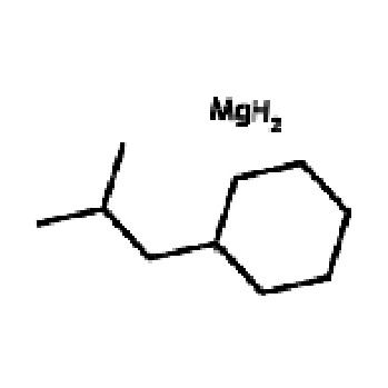 CC(C)C[C]1CCCCC1.[MgH2]